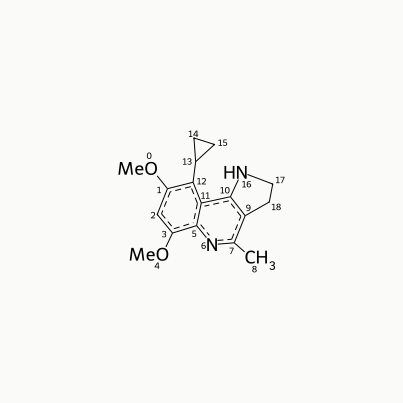 COc1cc(OC)c2nc(C)c3c(c2c1C1CC1)NCC3